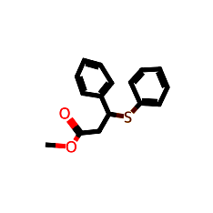 COC(=O)CC(Sc1ccccc1)c1ccccc1